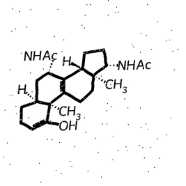 CC(=O)N[C@H]1C[C@@H]2CCC=C(O)[C@]2(C)C2=C1[C@@H]1CC[C@H](NC(C)=O)[C@@]1(C)CC2